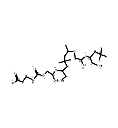 CC(CC(C)(C)CC(CO)OC(O)COC(=O)NCCC(=O)O)OCC(O)OC(CO)CC(C)(C)C